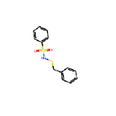 O=S(=O)(NSCc1ccccc1)c1ccccc1